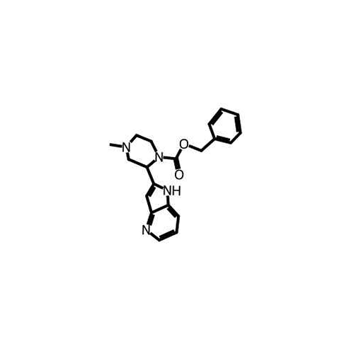 CN1CCN(C(=O)OCc2ccccc2)C(c2cc3ncccc3[nH]2)C1